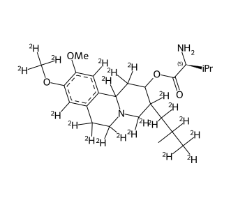 [2H]c1c(OC([2H])([2H])[2H])c(OC)c([2H])c2c1C([2H])([2H])C([2H])([2H])N1C([2H])([2H])C([2H])(C([2H])([2H])C([2H])(C)C([2H])([2H])[2H])C(OC(=O)[C@@H](N)C(C)C)C([2H])([2H])C21[2H]